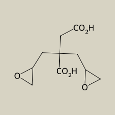 O=C(O)CC(CC1CO1)(CC1CO1)C(=O)O